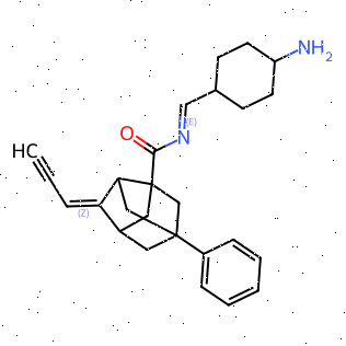 C#C/C=C1/C2CC3(c4ccccc4)CC1C(C(=O)/N=C/C1CCC(N)CC1)(C2)C3